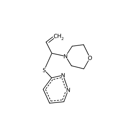 C=CC(Sc1cccnn1)N1CCOCC1